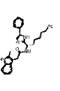 CC(=O)CCCCC[C@H](NC(=O)Cc1c(C)[nH]c2ccccc12)C1=[N+]C=C(c2ccccc2)N1